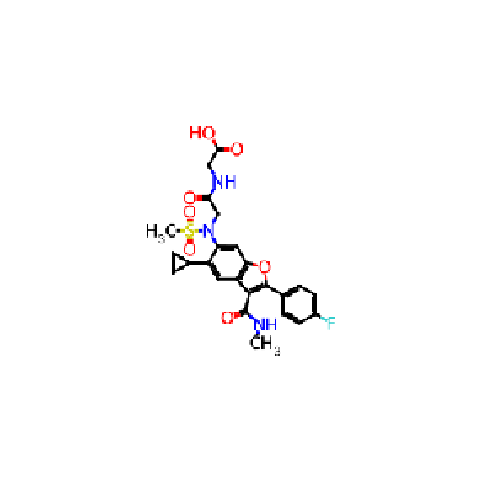 CNC(=O)c1c(-c2ccc(F)cc2)oc2cc(N(CC(=O)NCC(=O)O)S(C)(=O)=O)c(C3CC3)cc12